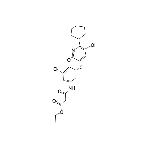 CCOC(=O)CC(=O)Nc1cc(Cl)c(Oc2ccc(O)c(C3CCCCC3)n2)c(Cl)c1